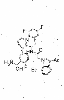 CCc1cccc2c(C(C)=O)cn(CC(=O)N[C@@H](Cc3cc(F)cc(F)c3)c3ncccc3-c3ccc(F)c(C(N)O)c3)c12